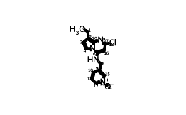 CCc1ccn2c(NCc3ccc[n+]([O-])c3)cc(Cl)nc12